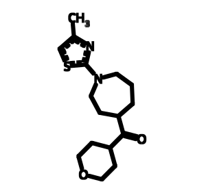 Cc1csc(N2CCCC(C(=O)C3CCOCC3)CC2)n1